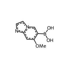 COc1cc2nccn2cc1B(O)O